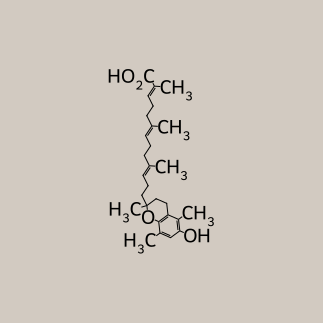 C/C(=C\CC/C(C)=C/CCC1(C)CCc2c(C)c(O)cc(C)c2O1)CC/C=C(\C)C(=O)O